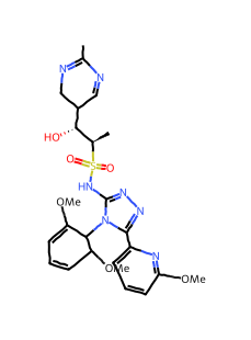 COC1=CC=CC(OC)C1n1c(NS(=O)(=O)[C@H](C)[C@H](O)C2C=NC(C)=NC2)nnc1-c1cccc(OC)n1